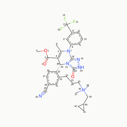 COC(=O)C1=C(C)N(c2cccc(C(F)(F)F)c2)c2n[nH]c(=O)n2[C@@H]1c1ccc(C#N)cc1CCC[N+](C)(C)CC1CC1